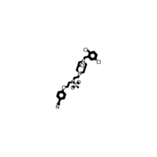 CS(=O)(=O)N(CCOc1ccc(C#N)cc1)CCN1CC2CN(Cc3cc(Cl)ccc3Cl)CC(C1)O2